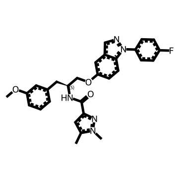 COc1cccc(C[C@@H](COc2ccc3c(cnn3-c3ccc(F)cc3)c2)NC(=O)c2cc(C)n(C)n2)c1